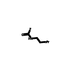 CCCCCNC(=O)F